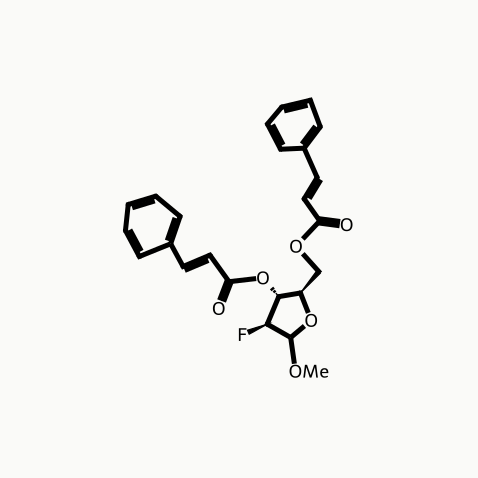 COC1O[C@H](COC(=O)C=Cc2ccccc2)[C@@H](OC(=O)C=Cc2ccccc2)[C@@H]1F